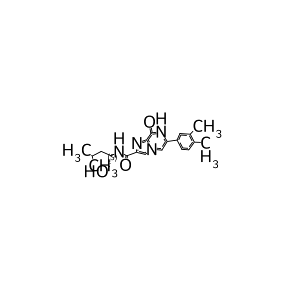 Cc1ccc(-c2cn3cc(C(=O)N[C@H](CO)CC(C)C)nc3c(=O)[nH]2)cc1C